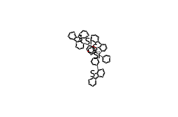 c1ccc([Si](c2ccccc2)(c2cccc(-c3cccc4c3sc3ccccc34)c2)c2cccc3c2sc2c([Si](c4ccccc4)(c4ccccc4)c4cccc5c4sc4ccccc45)cccc23)cc1